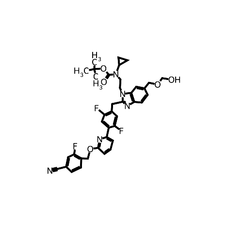 CC(C)(C)OC(=O)N(CCn1c(Cc2cc(F)c(-c3cccc(OCc4ccc(C#N)cc4F)n3)cc2F)nc2ccc(COCO)cc21)C1CC1